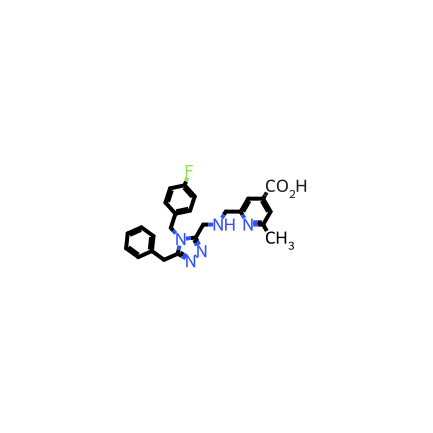 Cc1cc(C(=O)O)cc(CNCc2nnc(Cc3ccccc3)n2Cc2ccc(F)cc2)n1